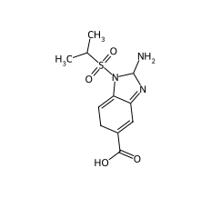 CC(C)S(=O)(=O)N1C2=CCC(C(=O)O)=CC2=NC1N